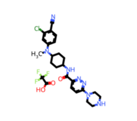 CN(c1ccc(C#N)c(Cl)c1)C1CCC(NC(=O)c2ccc(N3CCNCC3)nn2)CC1.O=C(O)C(F)(F)F